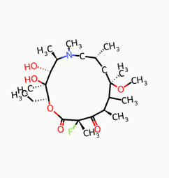 CC[C@H]1OC(=O)[C@@](C)(F)C(=O)[C@H](C)C(C)[C@](C)(OC)C[C@@H](C)CN(C)[C@H](C)[C@@H](O)[C@]1(C)O